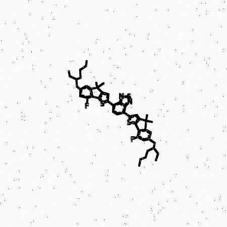 CCCCC(CC)Cc1cc(F)c2c(c1)C(C)(C)c1cc(-c3ccc(-c4cc5c(s4)-c4c(F)cc(CC(CC)CCCC)cc4C5(C)C)c4nsnc34)sc1-2